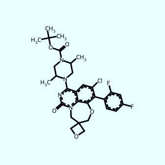 CC1CN(c2nc(=O)n3c4c(c(-c5ccc(F)cc5F)c(Cl)cc24)OCC2(COC2)C3)C(C)CN1C(=O)OC(C)(C)C